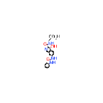 O=C(O)CCNC(=O)c1ncc2cc(NC(=O)Nc3ccccc3)ccc2c1O